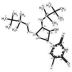 CC(C)(C)[Si](C)(C)OC[C@H]1O[C@@H](n2cc(F)c(=O)[nH]c2=O)[C@H](O)[C@@H]1O[Si](C)(C)C(C)(C)C